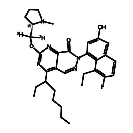 [2H]C([2H])(Oc1nc(C(CC)CCCCC)c2cnn(-c3cc(O)cc4ccc(F)c(CC)c34)c(=O)c2n1)[C@@H]1CCCN1C